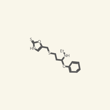 CCNC(CCSCc1c[nH]c(=S)o1)Oc1ccccc1